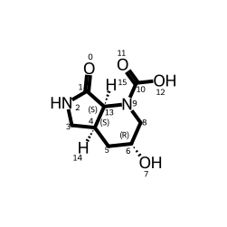 O=C1NC[C@@H]2C[C@@H](O)CN(C(=O)O)[C@H]12